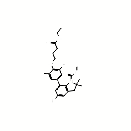 CCOC(=O)CCCOc1c(F)cc(-c2cc(F)cc3c2N(C(=O)OC)C(C)(C)C3)cc1F